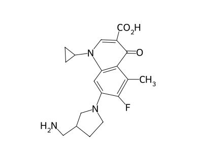 Cc1c(F)c(N2CCC(CN)C2)cc2c1c(=O)c(C(=O)O)cn2C1CC1